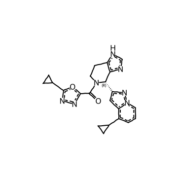 O=C(c1nnc(C2CC2)o1)N1CCc2[nH]cnc2[C@@H]1c1cc2c(C3CC3)cccn2n1